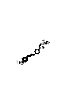 CCC[Si@H]1CC[C@H]([C@H]2CC[C@H](CCCCc3ccc(OCC)cc3)CC2)CC1